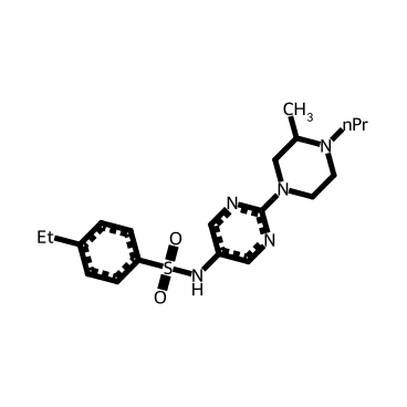 CCCN1CCN(c2ncc(NS(=O)(=O)c3ccc(CC)cc3)cn2)CC1C